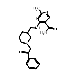 Cc1ncc(C(N)=O)c(NCC2CCCN(CC(=O)c3ccccc3)C2)n1